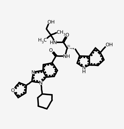 CC(C)(CO)NC(=O)[C@H](Cc1c[nH]c2ccc(O)cc12)NC(=O)c1ccc2c(c1)nc(-c1ccoc1)n2C1CCCCC1